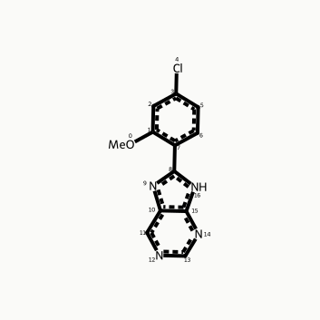 COc1cc(Cl)ccc1-c1nc2cncnc2[nH]1